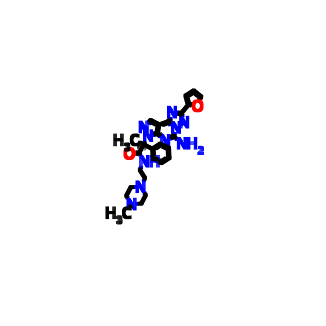 CN1CCN(CCNC(=O)[C@@](C)(c2ccccc2)n2ncc3c2nc(N)n2nc(-c4ccco4)nc32)CC1